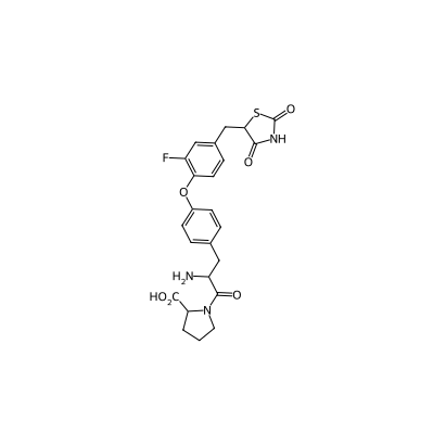 NC(Cc1ccc(Oc2ccc(CC3SC(=O)NC3=O)cc2F)cc1)C(=O)N1CCCC1C(=O)O